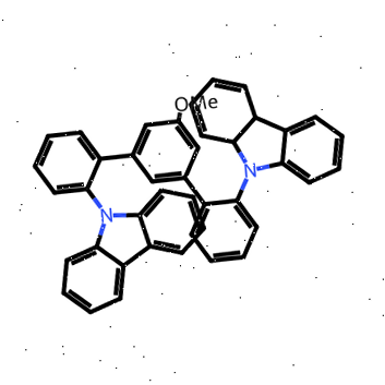 COc1cc(-c2ccccc2N2c3ccccc3C3C=CC=CC32)cc(-c2ccccc2-n2c3ccccc3c3ccccc32)c1